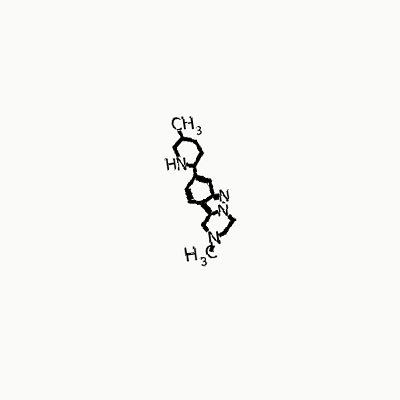 CC1CCC(c2ccc3c4n(nc3c2)CCN(C)C4)NC1